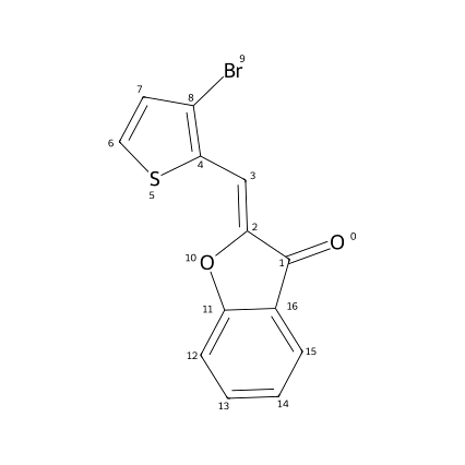 O=C1/C(=C/c2sccc2Br)Oc2ccccc21